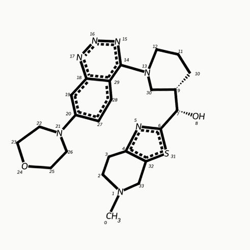 CN1CCc2nc([C@@H](O)[C@H]3CCCN(c4nnnc5cc(N6CCOCC6)ccc45)C3)sc2C1